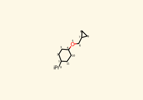 CC(C)C1CCC(OCC2CC2)CC1